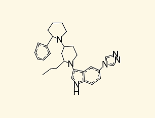 CCCC1CC(N2CCCCC2c2ccccc2)CCN1c1c[nH]c2ccc(-n3cnnc3)cc12